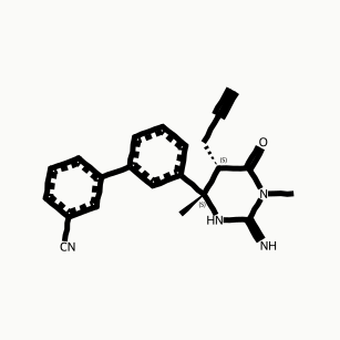 C#CC[C@@H]1C(=O)N(C)C(=N)N[C@]1(C)c1cccc(-c2cccc(C#N)c2)c1